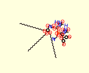 CCCCCCCCCCCCCCCCCCOc1cc(C(=O)N(C)CC(=O)O[C@H]2C[C@H](n3cc(C)c(=O)[nH]c3=O)O[C@@H]2COP(=O)(OCCC#N)[C@H]2C[C@H](n3cc(C)c(=O)[nH]c3=O)O[C@@H]2COC(c2ccccc2)(c2ccc(OC)cc2)c2ccc(OC)cc2)cc(OCCCCCCCCCCCCCCCCCC)c1OCCCCCCCCCCCCCCCCCC